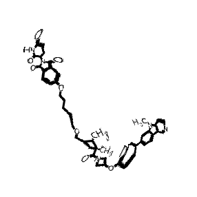 C[C@@H]1C(COCCCCCOc2ccc3c(c2)C(=O)N(C2CCC(=O)NC2=O)C3=O)C[C@@]1(C)C(=O)N1CC(Oc2ccc(-c3ccc4c5cnccc5n(C)c4c3)cn2)C1